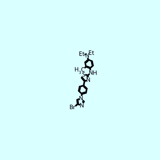 CCN(CC)c1ccc(Nc2nc(-c3ccc(-n4cnc(Br)c4)cc3)cs2)c(C)c1